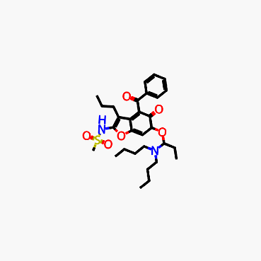 CCCCN(CCCC)C(CC)OC1C=c2oc(NS(C)(=O)=O)c(CCC)c2=C(C(=O)c2ccccc2)C1=O